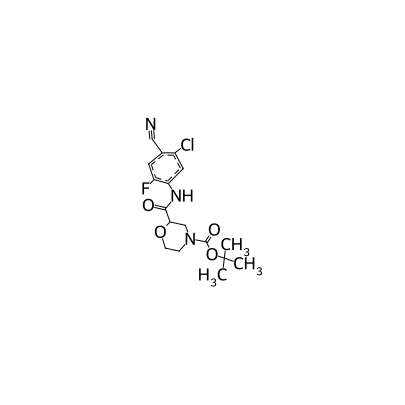 CC(C)(C)OC(=O)N1CCOC(C(=O)Nc2cc(Cl)c(C#N)cc2F)C1